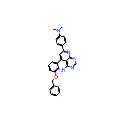 CN(C)c1ccc(-c2cc(-c3cccc(OCc4ccccc4)c3)c3c(N)ncnc3n2)cc1